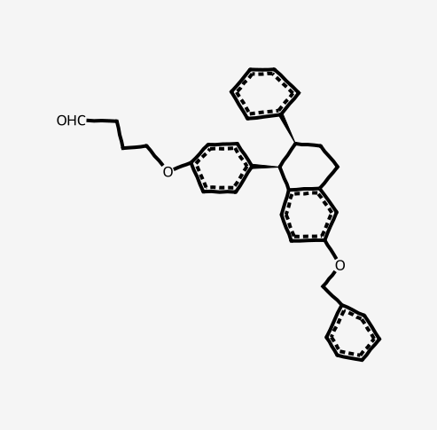 O=CCCCOc1ccc([C@@H]2c3ccc(OCc4ccccc4)cc3CC[C@@H]2c2ccccc2)cc1